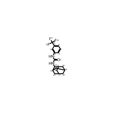 O=C(Nc1cccc(C(F)(F)F)c1)NC1C2CC3CC(C2)CC1C3